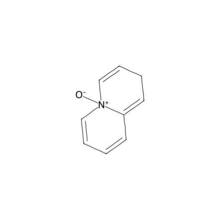 [O-][N+]12C=CC=CC1=CCC=C2